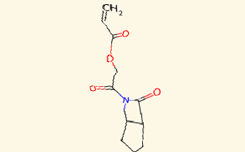 C=CC(=O)OCC(=O)N1C(=O)C2CCCC21